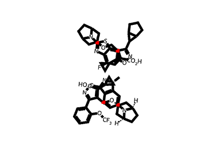 Cn1nc(C(=O)O)c2ccc(N3[C@@H]4CC[C@H]3C[C@H](OCc3c(-c5ccccc5OC(F)(F)F)noc3C3CC3)C4)cc21.O=C(O)c1cc(F)c2nc(N3C4CCC3CC(OCc3c(C5C6CCCC65)noc3C3CC3)C4)sc2c1